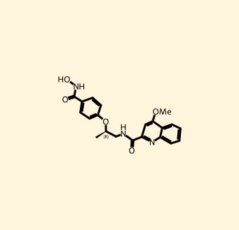 COc1cc(C(=O)NC[C@@H](C)Oc2ccc(C(=O)NO)cc2)nc2ccccc12